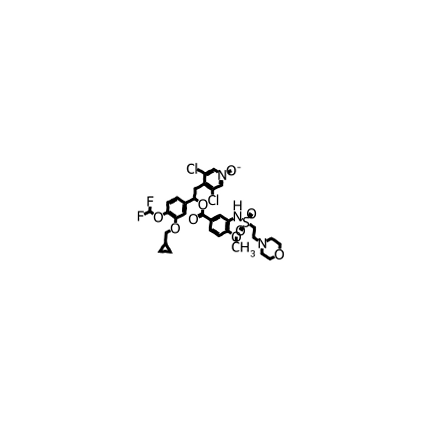 COc1ccc(C(=O)OC(Cc2c(Cl)c[n+]([O-])cc2Cl)c2ccc(OC(F)F)c(OCC3CC3)c2)cc1NS(=O)(=O)CCN1CCOCC1